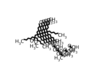 CC(=O)O.CC(=O)O.CC(=O)O.CC(=O)O.CC(=O)O.CCCCCCC(CCCCCC)(CC(CCCCCC)(CCCCCC)C(CCCCCC)(CCCCCC)C(CCCCCC)(CCCCCC)C(CCCCCC)(CCCCCC)C(CCCCCC)(CCCCCC)CCCCCC)C(=O)OCC